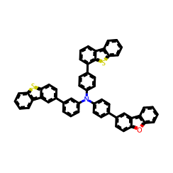 c1cc(-c2ccc3sc4ccccc4c3c2)cc(N(c2ccc(-c3ccc4oc5ccccc5c4c3)cc2)c2ccc(-c3cccc4c3sc3ccccc34)cc2)c1